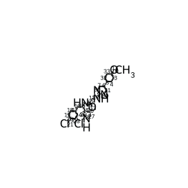 COc1ccc(-c2cnc(NCC(=O)NC(Cc3ccc(Cl)c(Cl)c3)C3CCNC3)nc2)cc1